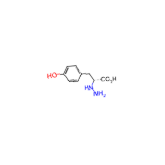 NN[C@H](Cc1ccc(O)cc1)C(=O)O